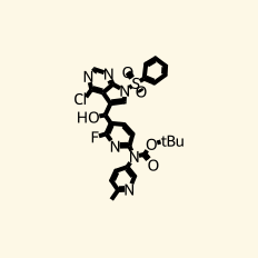 Cc1ccc(N(C(=O)OC(C)(C)C)c2ccc(C(O)c3cn(S(=O)(=O)c4ccccc4)c4ncnc(Cl)c34)c(F)n2)cn1